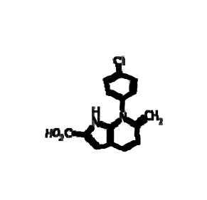 C=C1C=Cc2cc(C(=O)O)[nH]c2N1c1ccc(Cl)cc1